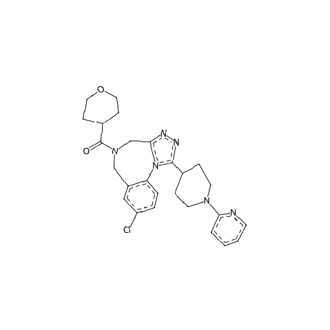 O=C(C1CCOCC1)N1Cc2cc(Cl)ccc2-n2c(nnc2C2CCN(c3ccccn3)CC2)C1